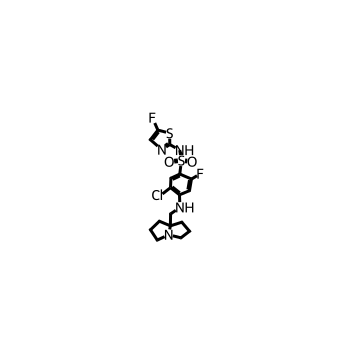 O=S(=O)(Nc1ncc(F)s1)c1cc(Cl)c(NCC23CCCN2CCC3)cc1F